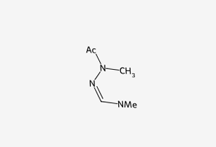 CN/C=N\N(C)C(C)=O